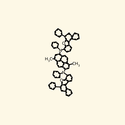 Cc1cc(N(c2ccccc2)c2cccc3c2oc2c(-c4ccccc4)cc4ccccc4c23)c2ccc3c(C)cc(N(c4ccccc4)c4cccc5c4oc4c(-c6ccccc6)cc6ccccc6c45)c4ccc1c2c34